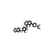 C=CC(=O)N1CC=C(c2ccc3ncnc(Nc4ccc(Oc5ccn6ncnc6c5)c(C)c4)c3c2F)CC1